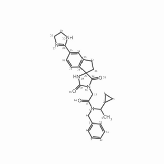 CC(C1CC1)N(Cc1ccccc1)C(=O)CN1C(=O)NC2(CCc3cc(C4=NCCN4)ccc32)C1=O